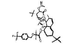 C[C@H]1C=CC2=C[C@@H](C(C)(C)C)C[C@H](OC(=O)C(C)(C)OCc3ccc(C(F)(F)F)cc3)[C@@H]2[C@@]1(CC[C@@H]1C[C@H](C(C)(C)C)C(O[SiH](C)C)C(=O)O1)O[SiH](C)C